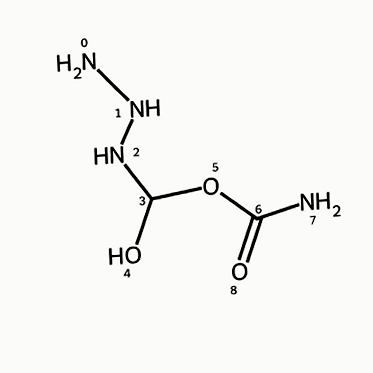 NNNC(O)OC(N)=O